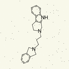 c1ccc2c(c1)CN(CCCN1CCc3c([nH]c4ccccc34)C1)C2